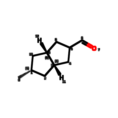 C[C@H]1C[C@H]2CC(C=O)C[C@H]2C1